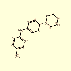 O=[N+]([O-])c1cnc(NC2=CCC([C@H]3CNCCO3)C=C2)nc1